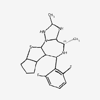 CC1NC2[C@H](C)NC(c3c(F)cccc3F)C3C4CCCC4SC3N2N1